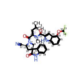 CC(C)/C=C(/C(=O)N1C[C@]2(C[C@H]1C#N)C(=O)Nc1ccccc12)N(C)C(=O)c1cc2c(OC(F)F)cccc2[nH]1